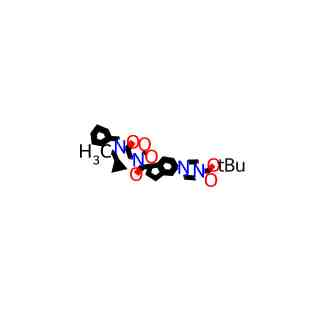 CC(C1CC1)N(Cc1ccccc1)C(=O)CN1C(=O)OC2(CCc3cc(N4CCN(C(=O)OC(C)(C)C)CC4)ccc32)C1=O